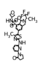 Cc1nc(Nc2cccc(N3CCCC3=O)n2)sc1-c1cc2c(c(S(=O)(=O)NC3COC3)c1)C(=O)N([C@@H](C)C(F)(F)F)C2